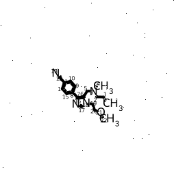 CCCN(C)Cc1c(-c2ccc(C#N)cc2)ncn1CCOC